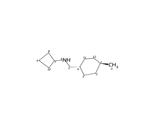 C[C@H]1CC[C@H](CNC2CCC2)CC1